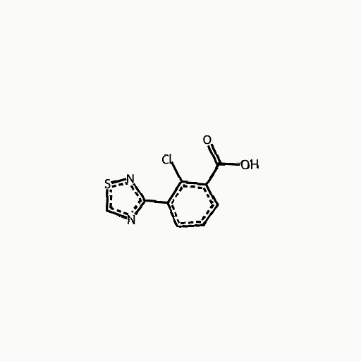 O=C(O)c1cccc(-c2ncsn2)c1Cl